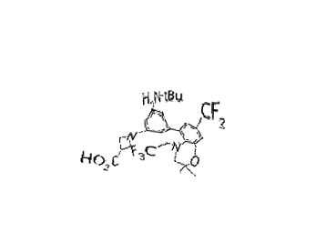 CC(C)(C)N.CC1(C)CN(CC(F)(F)F)c2c(cc(C(F)(F)F)cc2-c2cccc(N3CC(C(=O)O)C3)c2)O1